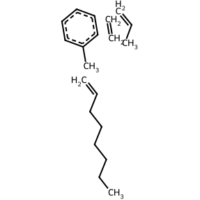 C=C.C=CC.C=CCCCCCC.Cc1ccccc1